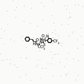 O=C(C=Cc1ccccc1)NC(NC(=S)Nc1ccc(C(F)(F)F)cc1[N+](=O)[O-])C(Cl)(Cl)Cl